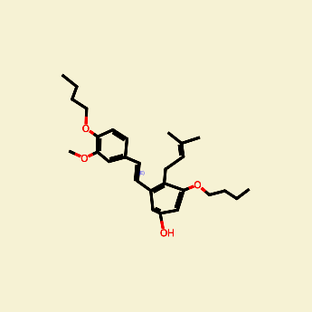 CCCCOc1ccc(/C=C/c2cc(O)cc(OCCCC)c2CC=C(C)C)cc1OC